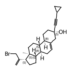 C=C(CBr)[C@H]1CC[C@H]2[C@@H]3CC=C4C[C@](O)(C#CC5CC5)CC[C@@H]4[C@H]3CC[C@]12C